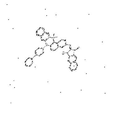 CC1(C)c2cc3ccccc3cc2N(c2ccc(-c3ccccc3)cc2)c2ccc3cc(C=C4C(=O)c5cc6ccccc6cc5C4=O)ccc3c21